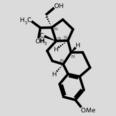 COc1ccc2c(c1)CC[C@@H]1[C@@H]2CC[C@@]2(C)[C@H]1CC[C@]2(CO)C(C)O